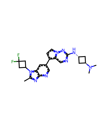 Cc1nc2ncc(-c3ccn4nc(N[C@H]5C[C@H](N(C)C)C5)ncc34)cc2n1C1CC(F)(F)C1